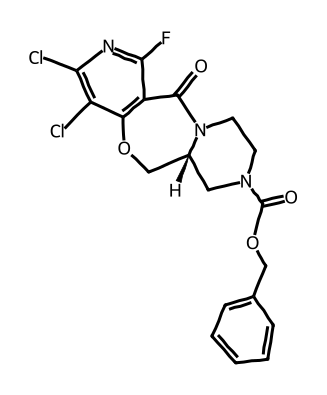 O=C(OCc1ccccc1)N1CCN2C(=O)c3c(F)nc(Cl)c(Cl)c3OC[C@H]2C1